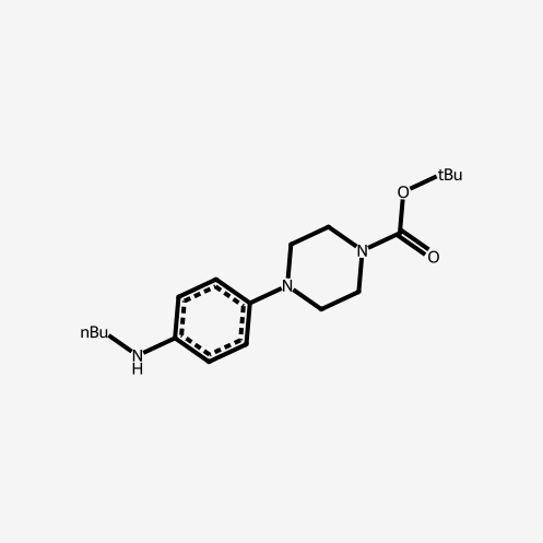 CCCCNc1ccc(N2CCN(C(=O)OC(C)(C)C)CC2)cc1